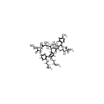 Cc1ccc(C(=O)N[C@@H](CCNS(N)(=O)=O)C(=O)N(C)[C@@H]2C(=O)N[C@@H](C)C(=O)N[C@H](C(=O)NCC#N)Cc3ccc(OCCN)c(c3)-c3cc2ccc3OCCN)c(C)c1